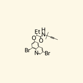 CC#CC(C)(C)NC(=O)C(CC)Oc1cc(Br)c2ncc(Br)cc2c1